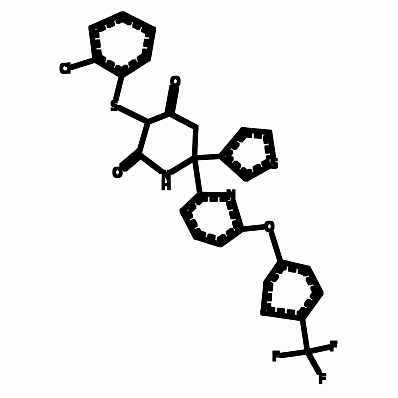 O=C1CC(c2ccsc2)(c2cccc(Oc3ccc(C(F)(F)F)cc3)n2)NC(=O)C1Sc1ccccc1Cl